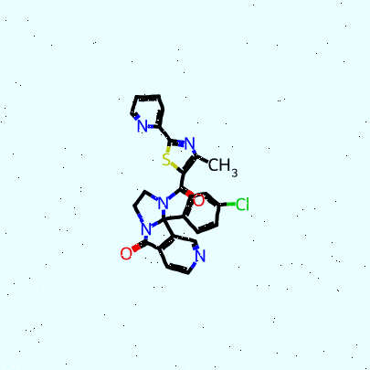 Cc1nc(-c2ccccn2)sc1C(=O)N1CCN2C(=O)c3ccncc3C21c1ccc(Cl)cc1